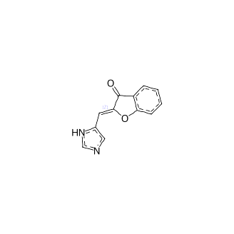 O=C1/C(=C/c2cnc[nH]2)Oc2ccccc21